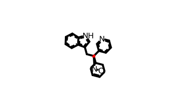 C1=CC2C(Cc3cccnc3)CC1CN2CCc1c[nH]c2ccccc12